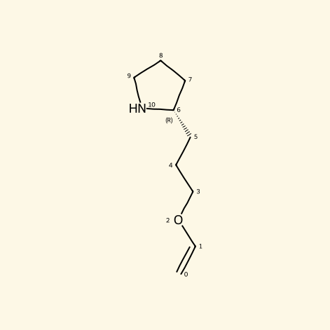 C=COCCC[C@H]1CCCN1